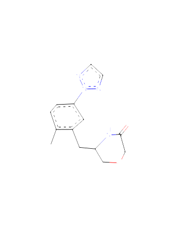 Cc1ccc(-n2nccn2)cc1CC1COCC(=O)N1